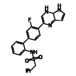 CC(C)CS(=O)(=O)Nc1ccccc1-c1ccc(C2=CNC3NC=CC3=N2)c(F)c1